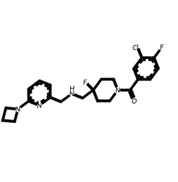 O=C(c1ccc(F)c(Cl)c1)N1CCC(F)(CNCc2cccc(N3CCC3)n2)CC1